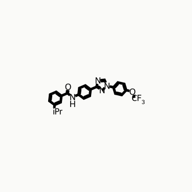 CC(C)c1cccc(C(=O)Nc2ccc(-c3ncn(-c4ccc(OC(F)(F)F)cc4)n3)cc2)c1